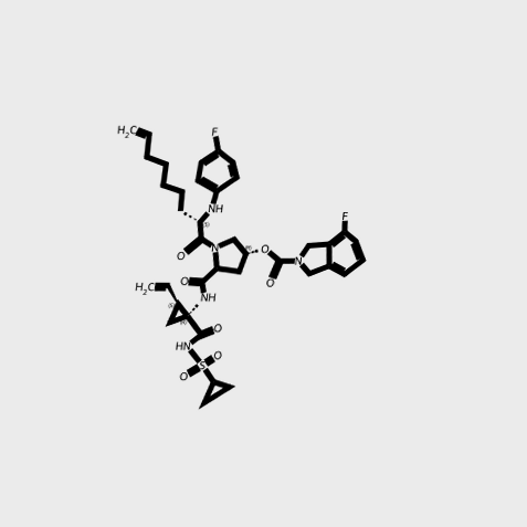 C=CCCCCC[C@H](Nc1ccc(F)cc1)C(=O)N1C[C@H](OC(=O)N2Cc3cccc(F)c3C2)CC1C(=O)N[C@]1(C(=O)NS(=O)(=O)C2CC2)C[C@H]1C=C